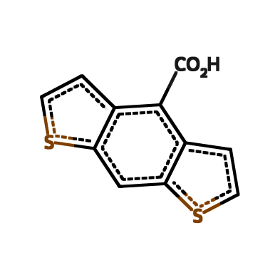 O=C(O)c1c2ccsc2cc2sccc12